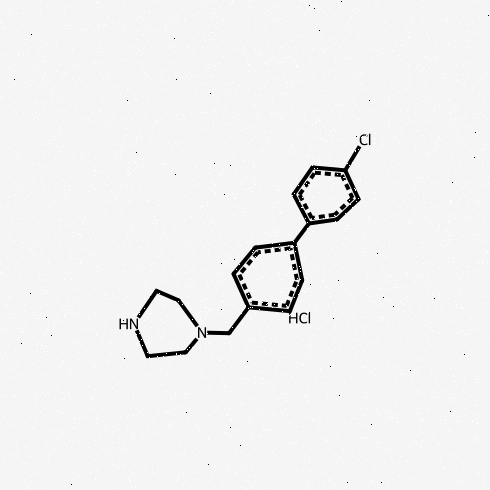 Cl.Clc1ccc(-c2ccc(CN3CCNCC3)cc2)cc1